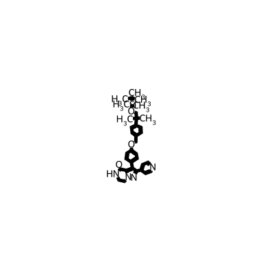 CC(C)(CO[Si](C)(C)C(C)(C)C)c1ccc(COc2ccc(-c3c(-c4ccncc4)nn4c3C(=O)NCC4)cc2)cc1